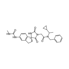 CNC(=O)Nc1ccc2c(c1)CC[C@]21NC(=O)N(CC(=O)N(Cc2ccccc2)C(C)C2CC2)C1=O